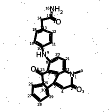 Cn1c(=O)cc2c3c(c(Nc4ccc(CC(N)=O)cc4)ccc31)C(=O)c1ccccc1-2